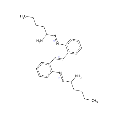 CCCCC(N)/N=N/c1ccccc1/C=C/c1ccccc1/N=N/C(N)CCCC